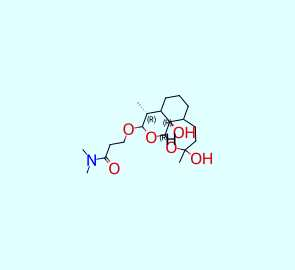 C[C@H]1C(OCCC(=O)N(C)C)O[C@@H]2OC(C)(O)CCC3CCCC1[C@]32O